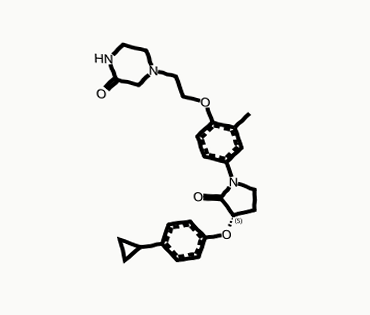 Cc1cc(N2CC[C@H](Oc3ccc(C4CC4)cc3)C2=O)ccc1OCCN1CCNC(=O)C1